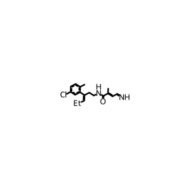 CC/C=C(/CCNC(=O)/C(C)=C/C=N)c1cc(Cl)ccc1C